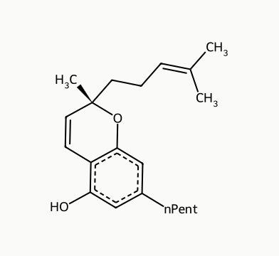 CCCCCc1cc(O)c2c(c1)O[C@@](C)(CCC=C(C)C)C=C2